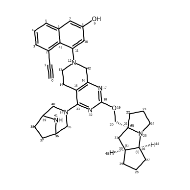 C#Cc1cccc2cc(O)cc(N3CCc4c(nc(OC[C@]56CCCN5[C@H]5CCC[C@H]5C6)nc4N4CC5CCC(C4)N5)C3)c12